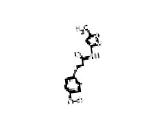 Cc1cc(NC(=O)COc2ccc(C=O)cc2)no1